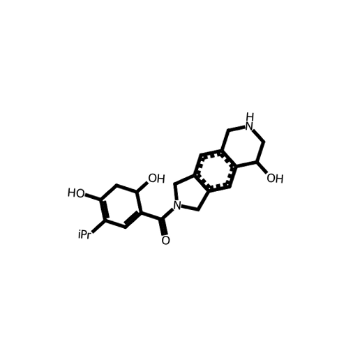 CC(C)C1=C(O)CC(O)C(C(=O)N2Cc3cc4c(cc3C2)C(O)CNC4)=C1